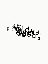 CN(CC(F)(F)F)C(=O)C(=O)Nc1cccc(C(=O)Nc2c(Br)cc(C(F)(C(F)(F)F)C(F)(F)F)cc2C(F)(F)F)c1F